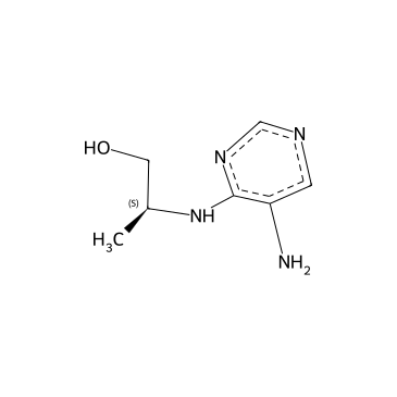 C[C@@H](CO)Nc1ncncc1N